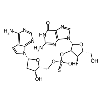 Nc1nc2c(ncn2[C@@H]2O[C@H](CO)[C@@H](F)C2OP(O)(=S)OC[C@H]2O[C@@H](n3ccc4c(N)ncnc43)C[C@@H]2O)c(=O)[nH]1